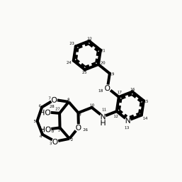 OC1C2OCCCOC(C(CNc3ncccc3OCc3ccccc3)O2)C1O